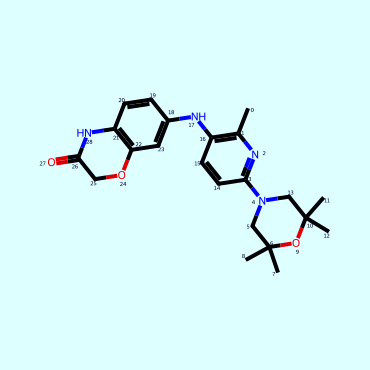 Cc1nc(N2CC(C)(C)OC(C)(C)C2)ccc1Nc1ccc2c(c1)OCC(=O)N2